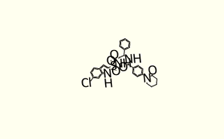 O=C(NC(C(=O)NS(=O)(=O)c1cc2ccc(Cl)cc2[nH]1)c1ccccc1)c1ccc(N2CCCCC2=O)cc1